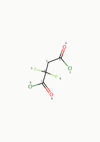 O=C(Cl)CC(F)(F)C(=O)Cl